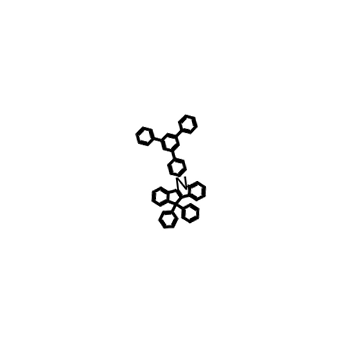 c1ccc(-c2cc(-c3ccccc3)cc(-c3ccc(-n4c5c(c6ccccc64)C(c4ccccc4)(c4ccccc4)c4ccccc4-5)cc3)c2)cc1